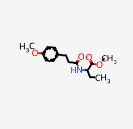 CCC(NC(=O)CCc1ccc(OC)cc1)C(=O)OC